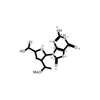 CCC(O)C1CC(C(C)OC)C(n2c(=O)sc3c(=O)[nH]c(O)nc32)O1